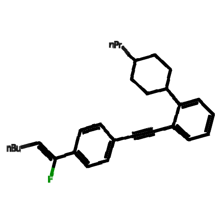 CCCCC=C(F)c1ccc(C#Cc2ccccc2C2CCC(CCC)CC2)cc1